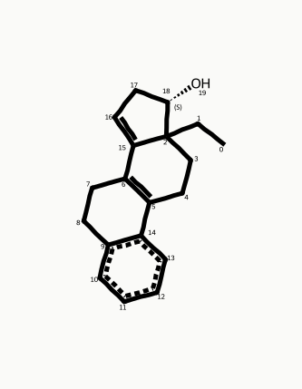 CCC12CCC3=C(CCc4ccccc43)C1=CC[C@@H]2O